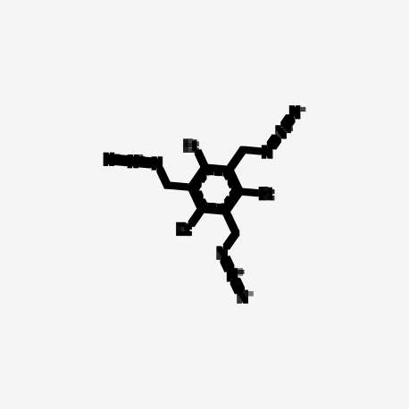 CCc1c(CN=[N+]=[N-])c(CC)c(CN=[N+]=[N-])c(CC)c1CN=[N+]=[N-]